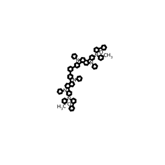 Cc1cccc(N(c2ccc3c4c5ccc6c(c5ccc4n(-c4ccccc4)c3c2)c2ccc(-c3cccc(-c4ccc5c7c8ccc9c(c8ccc7n(-c7ccccc7)c5c4)c4ccc(N(c5cccc(C)c5)c5cccc7c5oc5ccccc57)cc4n9-c4ccccc4)c3)cc2n6-c2ccccc2)c2cccc3c2oc2ccccc23)c1